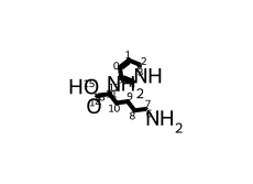 C1=CCNC=C1.NCCCCC(N)C(=O)O